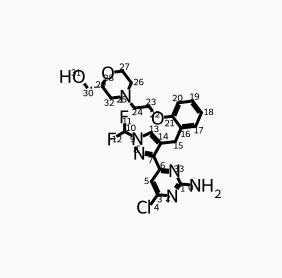 Nc1nc(Cl)cc(-c2nn(C(F)F)cc2Cc2ccccc2OCCN2CCO[C@@H](CO)C2)n1